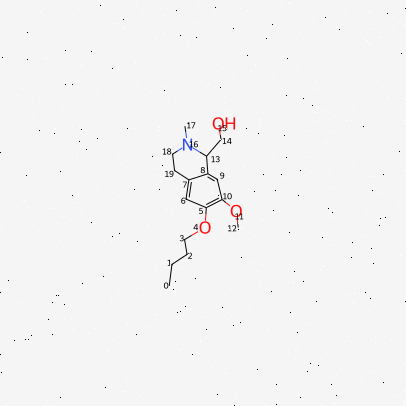 CCCCOc1cc2c(cc1OC)C(CO)N(C)CC2